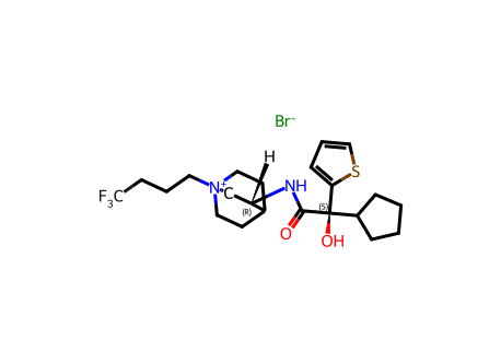 O=C(N[C@H]1C[N+]2(CCCC(F)(F)F)CCC1CC2)[C@](O)(c1cccs1)C1CCCC1.[Br-]